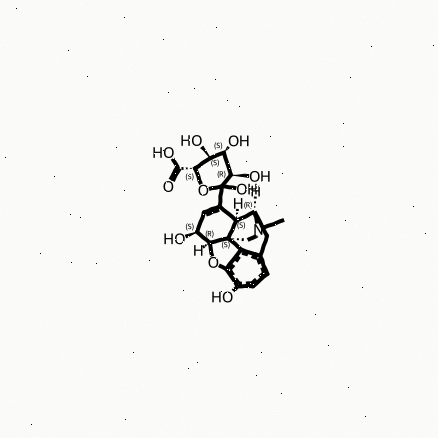 CN1CC[C@]23c4c5ccc(O)c4O[C@H]2[C@@H](O)C=C(C2(O)O[C@H](C(=O)O)[C@@H](O)[C@H](O)[C@H]2O)[C@H]3[C@H]1C5